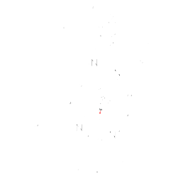 c1ccc(-n2ccc3ccc4c5ccccc5n(-c5ccc(-c6nc7c8c(cccc8n6)Oc6ccccc6-7)cc5)c4c32)cc1